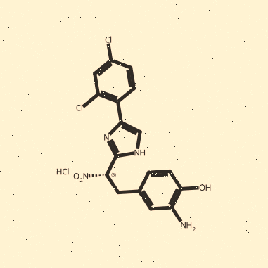 Cl.Nc1cc(C[C@@H](c2nc(-c3ccc(Cl)cc3Cl)c[nH]2)[N+](=O)[O-])ccc1O